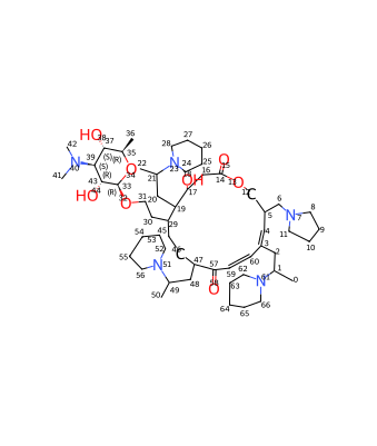 CC(CC1=CC(CN2CCCC2)COC(=O)CC(O)C(CC(C)N2CCCCC2)C(CCO[C@@H]2O[C@H](C)[C@@H](O)[C@H](N(C)C)[C@H]2O)CCC(CC(C)N2CCCCC2)C(=O)C=C1)N1CCCCC1